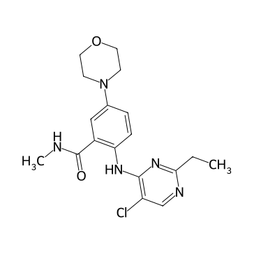 CCc1ncc(Cl)c(Nc2ccc(N3CCOCC3)cc2C(=O)NC)n1